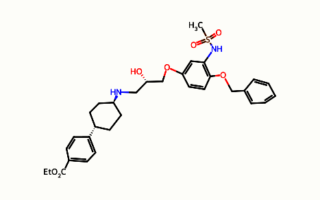 CCOC(=O)c1ccc([C@H]2CC[C@H](NC[C@H](O)COc3ccc(OCc4ccccc4)c(NS(C)(=O)=O)c3)CC2)cc1